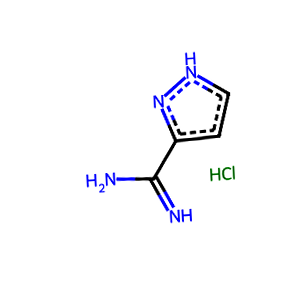 Cl.N=C(N)c1cc[nH]n1